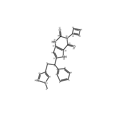 Cn1cc(CC(c2ccccc2)c2cc3[nH]c(=O)n(C4=CC=C4)c(=O)c3[nH]2)cn1